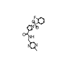 Cc1cnc(CNC(=O)c2ccn(S(=O)(=O)c3ccccc3F)c2)cn1